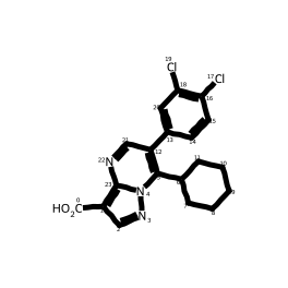 O=C(O)c1cnn2c(C3CCCCC3)c(-c3ccc(Cl)c(Cl)c3)cnc12